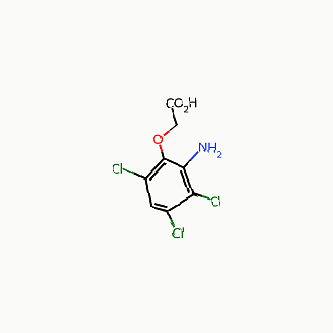 Nc1c(Cl)c(Cl)cc(Cl)c1OCC(=O)O